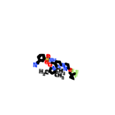 C[C@@H]1CN(c2nc(-n3ccc(OCC4(C(F)(F)F)CC4)n3)ccc2C(=O)NS(=O)(=O)c2cccc(C#N)c2)C(C)(C)C1